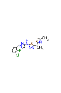 Cc1csc(C(C)c2nnc(Nc3ccn(Cc4cccc(Cl)c4F)n3)s2)n1